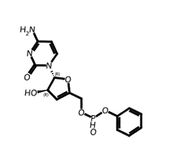 Nc1ccn([C@@H]2OC(CO[PH](=O)Oc3ccccc3)=C[C@H]2O)c(=O)n1